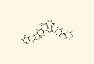 Nc1ncnc2c1c(-c1ccc3nc(Cc4ccccn4)[nH]c3c1)nn2[C@H]1CC[C@H](N2CCOCC2)CC1